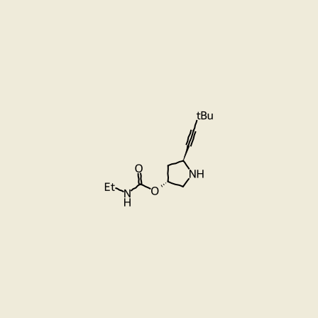 CCNC(=O)O[C@H]1CN[C@H](C#CC(C)(C)C)C1